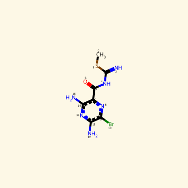 CSC(=N)NC(=O)c1nc(Br)c(N)nc1N